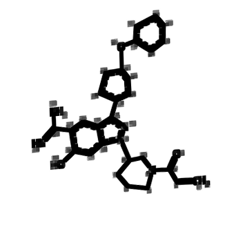 C=CC(=O)N1CCCC(n2nc(-c3ccc(Oc4ccccc4)cc3)c3cc(C(=N)N)c(O)cc32)C1